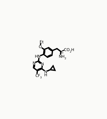 CCOc1cc(C[C@H](N)C(=O)O)ccc1Nc1ncc(C(F)(F)F)c(NC2CC2)n1